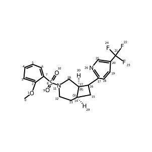 COc1ccccc1S(=O)(=O)N1CC[C@@H]2CC(c3ccc(C(F)(F)F)cn3)[C@@H]2C1